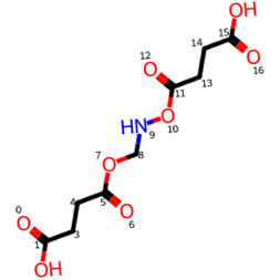 O=C(O)CCC(=O)OCNOC(=O)CCC(=O)O